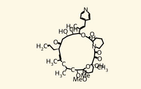 C=CC[C@@H]1/C=C(\C)C[C@H](C)C[C@H](OC)[C@H]2O[C@@](O)(C(=O)C(=O)N3CCCC[C@H]3C(=O)O[C@H](/C(C)=C/c3ccncc3)[C@H](C)[C@@H](O)CC1=O)[C@H](C)C[C@@H]2OC